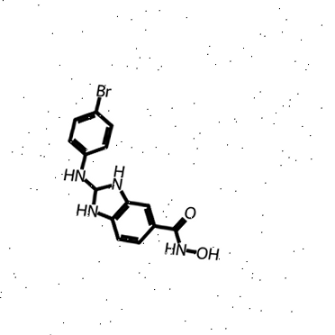 O=C(NO)c1ccc2c(c1)NC(Nc1ccc(Br)cc1)N2